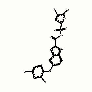 O=C(NS(=O)(=O)c1cc(Cl)c(Cl)s1)c1cc2cc(Oc3ccc(Br)cc3F)ccc2[nH]1